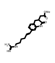 COC(=O)CC1Cc2ccc(C=CCCCCNC(=N)N)cc2NC1=O